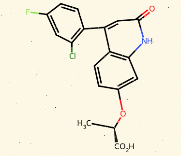 C[C@@H](Oc1ccc2c(-c3ccc(F)cc3Cl)cc(=O)[nH]c2c1)C(=O)O